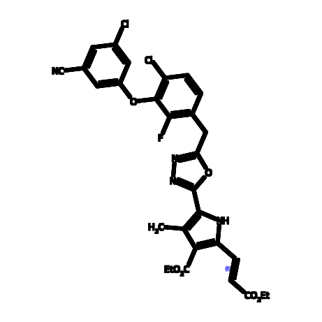 CCOC(=O)/C=C/c1[nH]c(-c2nnc(Cc3ccc(Cl)c(Oc4cc(Cl)cc(C#N)c4)c3F)o2)c(C)c1C(=O)OCC